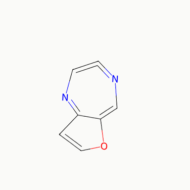 C1=CN=c2ccoc2=CN=1